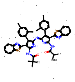 CCCCC(CC)C(=O)NC1=N/C(=N\c2[nH]c(NC(=O)C(C)(C)CC)c(-c3nc4ccccc4s3)c2-c2ccc(C)cc2C)C(c2ccc(C)cc2C)=C1c1nc2ccccc2s1